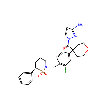 Nc1ccn(C(=O)C2(c3ccc(CN4CCC[C@H](c5ccccc5)S4(=O)=O)c(F)c3)CCOCC2)n1